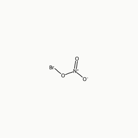 O=[N+]([O-])OBr